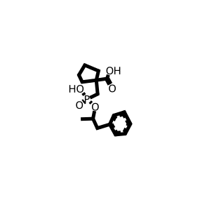 CC(Cc1ccccc1)OP(=O)(O)CC1(C(=O)O)CCCC1